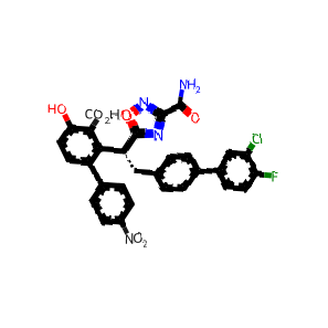 NC(=O)c1noc([C@H](Cc2ccc(-c3ccc(F)c(Cl)c3)cc2)c2c(-c3ccc([N+](=O)[O-])cc3)ccc(O)c2C(=O)O)n1